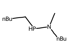 CCCCCPN(C)CCCC